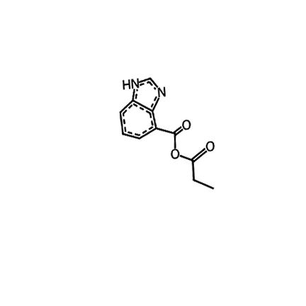 CCC(=O)OC(=O)c1cccc2[nH]cnc12